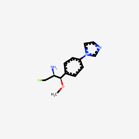 CO[C@H](c1ccc(-n2ccnc2)cc1)[C@H](N)CF